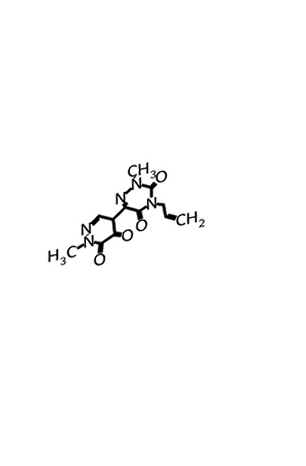 C=CCn1c(=O)c(C2C=NN(C)C(=O)C2=O)nn(C)c1=O